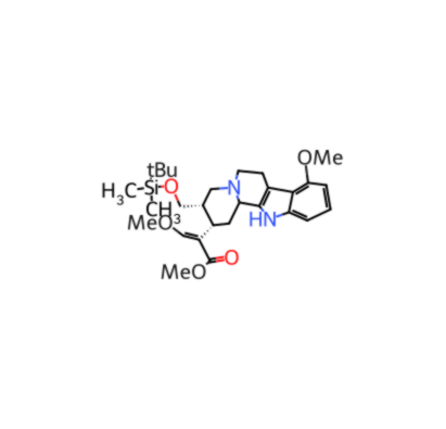 CO/C=C(/C(=O)OC)[C@H]1CC2c3[nH]c4cccc(OC)c4c3CCN2C[C@H]1CO[Si](C)(C)C(C)(C)C